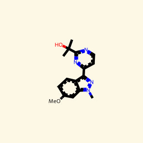 COc1[c]cc2c(-c3ccnc(C(C)(C)O)n3)nn(C)c2c1